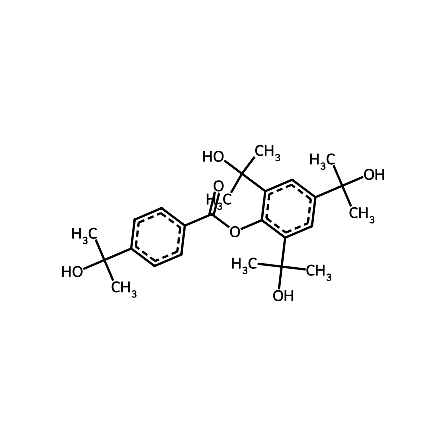 CC(C)(O)c1ccc(C(=O)Oc2c(C(C)(C)O)cc(C(C)(C)O)cc2C(C)(C)O)cc1